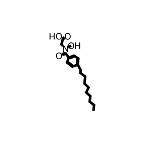 CCCCCCCCCCc1ccc(C(=O)N(O)CC(=O)O)cc1